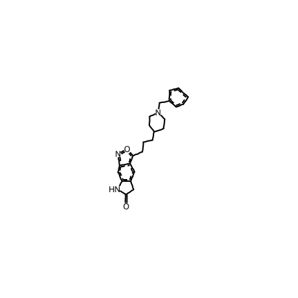 O=C1Cc2cc3c(CCCC4CCN(Cc5ccccc5)CC4)onc3cc2N1